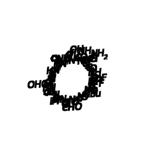 CCCC[C@H]1C(=O)N2CCC[C@@H]2C(=O)N[C@@H](COC=O)C(=O)N[C@@H](C(C)C)C(=O)N(C)[C@@H](Cc2ccccc2)C(=O)N[C@@H](COC=O)C(=O)N2CCC[C@@H]2C(=O)N[C@@H](Cc2c[nH]c3ccccc23)C(=O)N[C@@H](Cc2ccc(O)cc2)C(=O)N[C@@H](CCCN)C(=O)N[C@H](C(=O)NCC(N)=O)CSCC(=O)N[C@@H](Cc2cc(F)c(F)c(F)c2)C(=O)N(C)[C@@H](Cc2ccccc2)C(=O)N1C